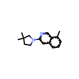 Cc1cccc2cc(N3CCC(C)(C)C3)ncc12